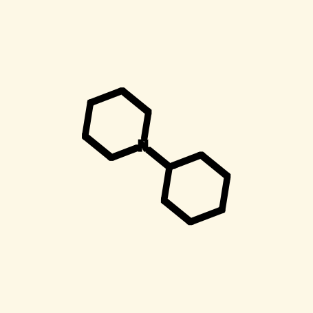 C1CC[C](N2CCCCC2)CC1